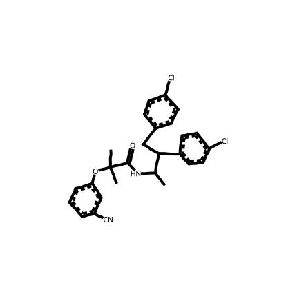 CC(NC(=O)C(C)(C)Oc1cccc(C#N)c1)C(Cc1ccc(Cl)cc1)c1ccc(Cl)cc1